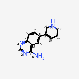 Nc1ncnc2ccc(C3=CCCNC3)cc12